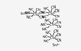 N#[C][Co-3]([C]#N)([C]#N)([C]#N)([C]#N)[C]#N.N#[C][Co-3]([C]#N)([C]#N)([C]#N)([C]#N)[C]#N.N#[C][Co-3]([C]#N)([C]#N)([C]#N)([C]#N)[C]#N.N#[C][Co-3]([C]#N)([C]#N)([C]#N)([C]#N)[C]#N.[Sn+4].[Sn+4].[Sn+4]